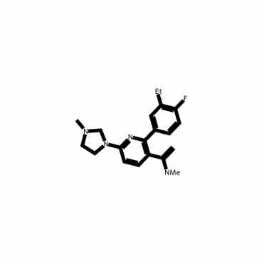 C=C(NC)c1ccc(N2CCN(C)C2)nc1-c1ccc(F)c(CC)c1